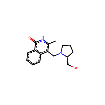 Cc1[nH]c(=O)c2ccccc2c1CN1CCC[C@H]1CO